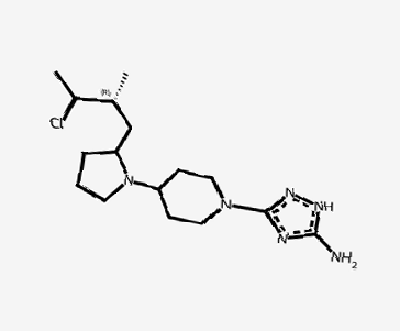 CC(Cl)[C@H](C)CC1CCCN1C1CCN(c2n[nH]c(N)n2)CC1